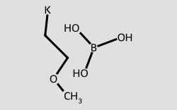 COC[CH2][K].OB(O)O